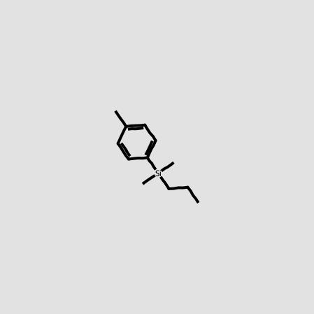 CCC[Si](C)(C)c1ccc(C)cc1